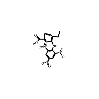 CCc1ccc(C(=O)OC)cc1Nc1c([N+](=O)[O-])cc([N+](=O)[O-])cc1[N+](=O)[O-]